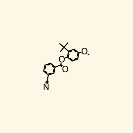 COc1ccc(OC(=O)c2cccc(C#N)c2)c(C(C)(C)C)c1